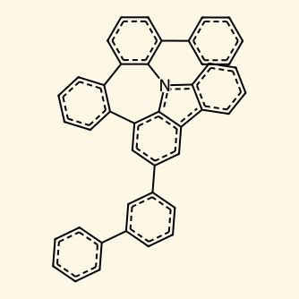 c1ccc(-c2cccc(-c3cc4c5c(c3)c3ccccc3n5-c3c(-c5ccccc5)cccc3-c3ccccc3-4)c2)cc1